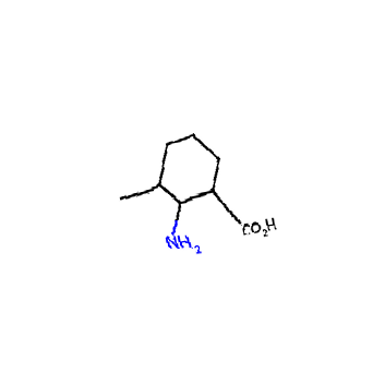 CC1CCCC(C(=O)O)C1N